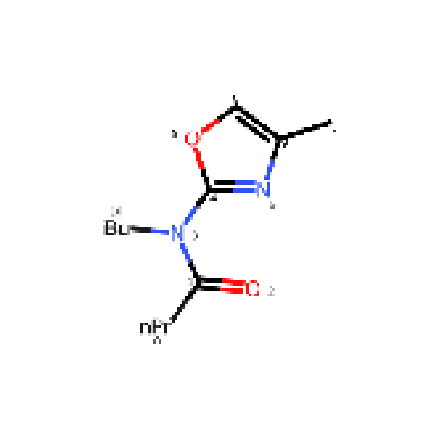 CCCC(=O)N(c1nc(C)co1)C(C)CC